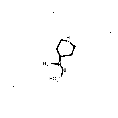 CN(NC(=O)O)C1CCNCC1